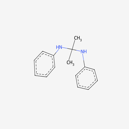 CC(C)(Nc1ccccc1)Nc1ccccc1